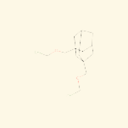 ClCOCC12CC3CC(C1)CC(COCCl)(C3)C2